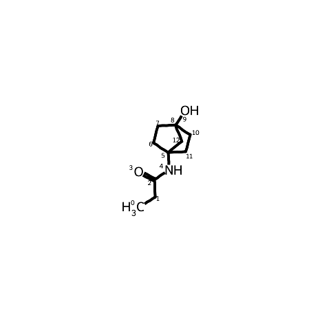 CCC(=O)NC12CCC(O)(CC1)C2